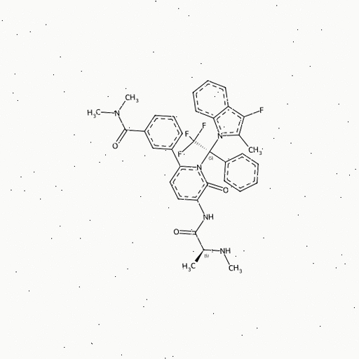 CN[C@@H](C)C(=O)Nc1ccc(-c2cccc(C(=O)N(C)C)c2)n([C@](c2ccccc2)(n2c(C)c(F)c3ccccc32)C(F)(F)F)c1=O